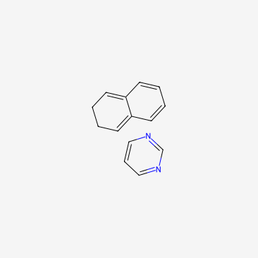 C1=c2ccccc2=CCC1.c1cncnc1